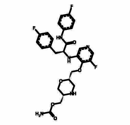 NC(=O)OC[C@@H]1CO[C@H](COc2c(F)cncc2N[C@@H](Cc2ccc(F)cc2)C(=O)Nc2ccc(F)cc2)CN1